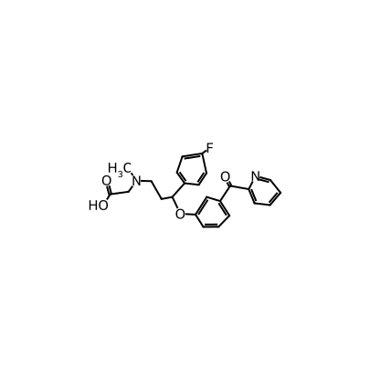 CN(CCC(Oc1cccc(C(=O)c2ccccn2)c1)c1ccc(F)cc1)CC(=O)O